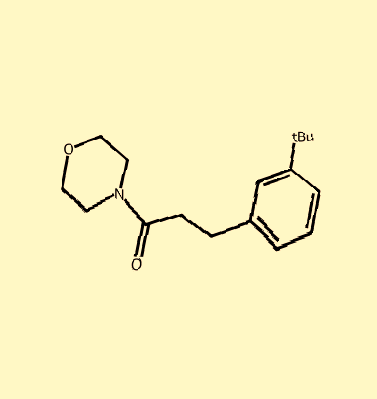 CC(C)(C)c1cccc(CCC(=O)N2CCOCC2)c1